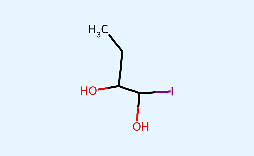 CCC(O)C(O)I